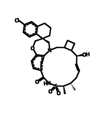 C[C@@H]1[C@@H](C)C/C=C/[C@H](O)C2CCC2CN2C[C@@]3(CCCc4cc(Cl)ccc43)COc3ccc(cc32)C(=O)NS1(=O)=O